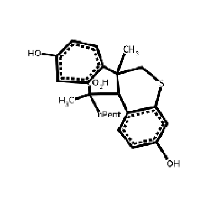 CCCCCC(C)(C(=O)O)C1c2ccc(O)cc2SCC1(C)c1ccc(O)cc1